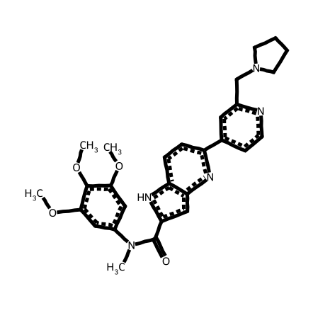 COc1cc(N(C)C(=O)c2cc3nc(-c4ccnc(CN5CCCC5)c4)ccc3[nH]2)cc(OC)c1OC